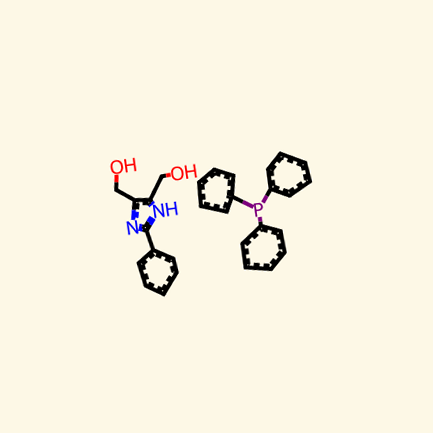 OCc1nc(-c2ccccc2)[nH]c1CO.c1ccc(P(c2ccccc2)c2ccccc2)cc1